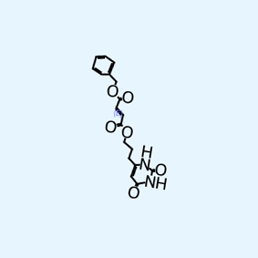 O=C(/C=C/C(=O)OCc1ccccc1)OCCCc1cc(=O)[nH]c(=O)[nH]1